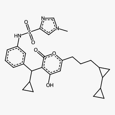 Cn1cnc(S(=O)(=O)Nc2cccc(C(c3c(O)cc(CCCC4CC4C4CC4)oc3=O)C3CC3)c2)c1